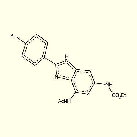 CCOC(=O)Nc1cc(NC(C)=O)c2nc(-c3ccc(Br)cc3)[nH]c2c1